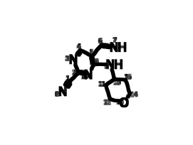 N#Cc1ncc(C=N)c(NC2CCOCC2)n1